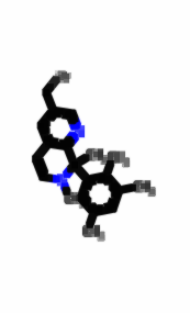 Cc1cc(C)c(C)c(C2(C)c3ncc(CC(C)C)cc3C=CN2C)c1